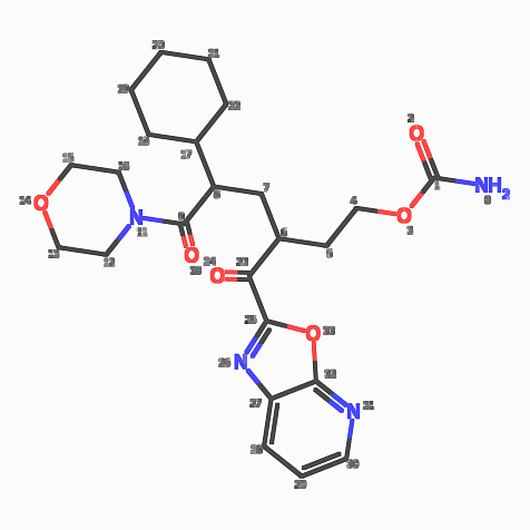 NC(=O)OCCC(CC(C(=O)N1CCOCC1)C1CCCCC1)C(=O)c1nc2cccnc2o1